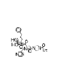 CCC(=O)N1CCN(C(=O)CC(NC(=O)c2cnccn2)C(=O)NC(CCCc2ccccc2)B(O)O)CC1